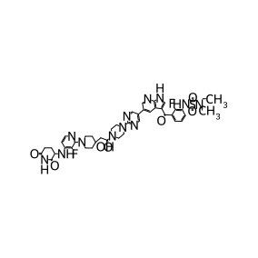 CCN(C)S(=O)(=O)Nc1cccc(C(=O)c2c[nH]c3ncc(-c4cnc(N5CCN(C(=O)CC6(O)CCN(c7nccc(NC8CCC(=O)NC8=O)c7F)CC6)CC5)nc4)cc23)c1F